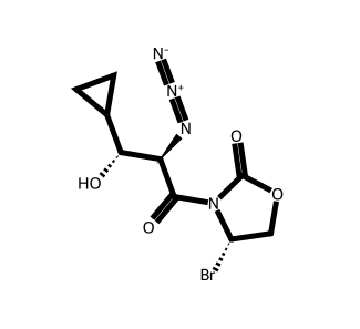 [N-]=[N+]=N[C@@H](C(=O)N1C(=O)OC[C@@H]1Br)[C@H](O)C1CC1